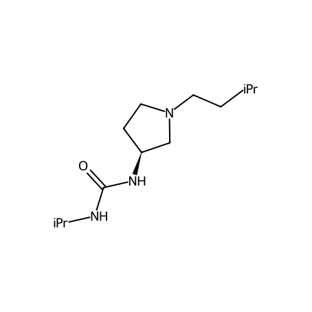 CC(C)CCN1CC[C@H](NC(=O)NC(C)C)C1